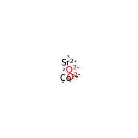 [Co+2].[O-2].[O-2].[Sr+2]